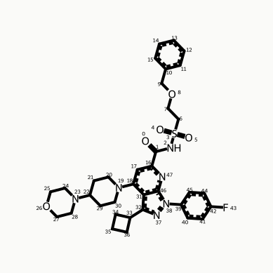 O=C(NS(=O)(=O)CCOCc1ccccc1)c1cc(N2CCC(N3CCOCC3)CC2)c2c(C3CCC3)nn(-c3ccc(F)cc3)c2n1